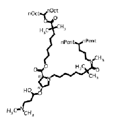 CCCCCCCCC(CCCCCCCC)OC(=O)C(C)(C)CCCCCCOC(=O)[C@@H]1C[C@H](OC(O)CCN(C)C)CN1CCCCCCC(C)(C)C(=O)N(C)CCCC(CCCCC)CCCCC